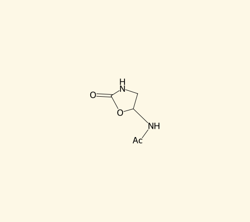 CC(=O)NC1CNC(=O)O1